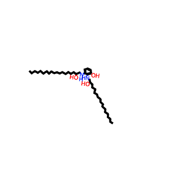 CCCCCCCCCCCCCCCCCC(O)CNc1cccc(O)c1NCC(O)CCCCCCCCCCCCCCCCC